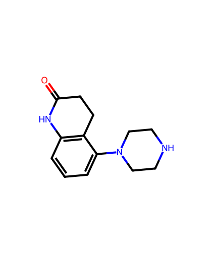 O=C1CCc2c(cccc2N2CCNCC2)N1